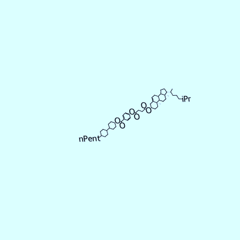 CCCCCC1CCC(C2CCC(OC(=O)c3ccc(OC(=O)CCC(=O)O[C@H]4CC[C@@]5(C)C(=CCC6C5CC[C@@]5(C)C6CC[C@@H]5C(C)CCCC(C)C)C4)cc3)CC2)CC1